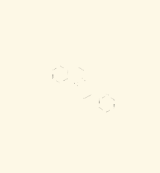 CCCC(=Cc1ccccn1)CN(NC(C)=O)c1ccc2c(c1)CCCC2